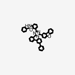 c1ccc(-c2cccc(-c3ccccc3-c3nc(-c4ccc5oc6ccccc6c5c4)nc(-c4cccc5c4OC(c4ccccc4)N5)n3)c2)cc1